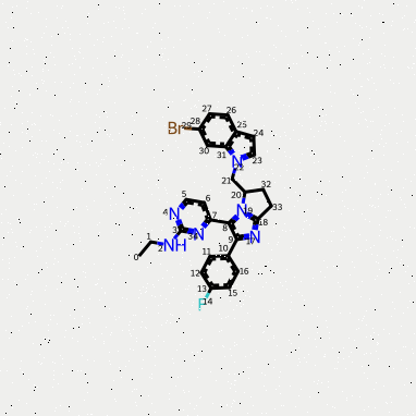 CCNc1nccc(-c2c(-c3ccc(F)cc3)nc3n2C(Cn2ccc4ccc(Br)cc42)CC3)n1